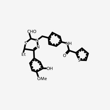 CCC1SC(C=O)N(Cc2ccc(NC(=O)c3cccs3)cc2)N=C1c1ccc(OC)c(O)c1